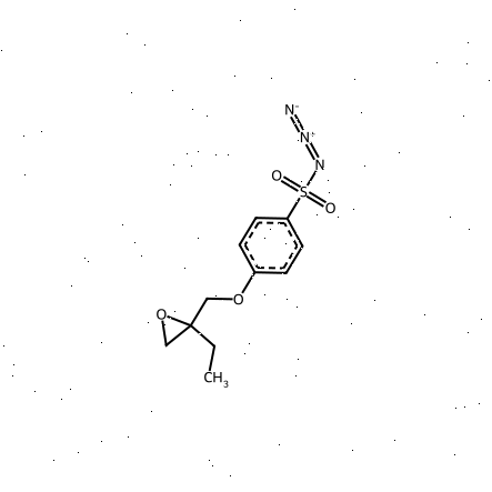 CCC1(COc2ccc(S(=O)(=O)N=[N+]=[N-])cc2)CO1